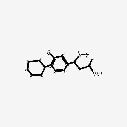 CC(=O)SC(CC(C)C(=O)O)c1ccc(C2CCCCC2)c(Cl)c1